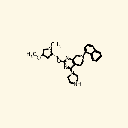 CO[C@@H]1C[C@@H](COc2nc3c(c(N4CCNCC4)n2)CCN(c2cccc4ccccc24)C3)N(C)C1